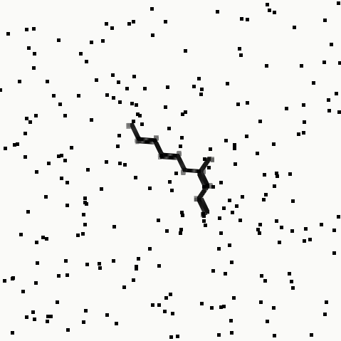 C=CC=C(C)CC=CC=CC